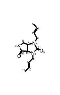 CC=CCN1C(=O)N(CC=CC)C2C(=O)SCC21